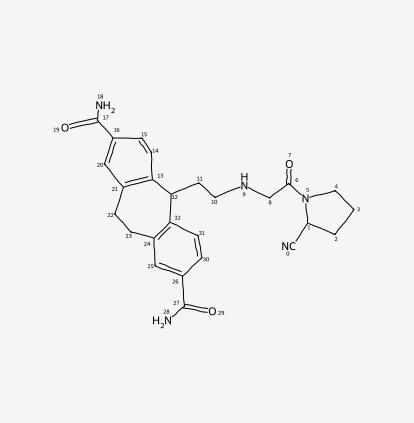 N#CC1CCCN1C(=O)CNCCC1c2ccc(C(N)=O)cc2CCc2cc(C(N)=O)ccc21